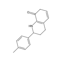 Cc1ccc(C2CCC3=C(N2)C(=O)CC=C3)cc1